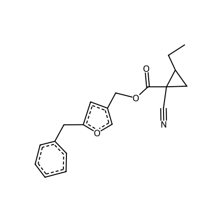 CCC1CC1(C#N)C(=O)OCc1coc(Cc2ccccc2)c1